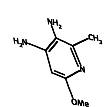 COc1cc(N)c(N)c(C)n1